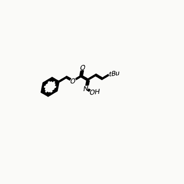 CC(C)(C)CCC(=NO)C(=O)OCc1ccccc1